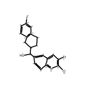 CCc1cc2cc(C(O)C3CCc4cc(F)ccc4C3)ccc2nc1Cl